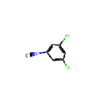 [C-]#[N+]c1cc(Cl)cc(Cl)c1